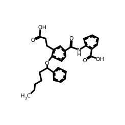 CCCCCC(Oc1ccc(C(=O)Nc2ccccc2C(=O)O)cc1CCC(=O)O)c1ccccc1